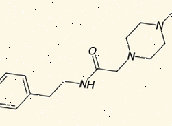 CN1CCN(CC(=O)NCCc2ccccc2)CC1